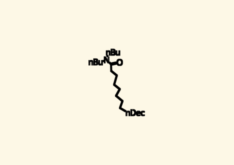 CCCCCCCCCCCCCCCCCC(=O)N(CCCC)CCCC